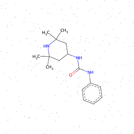 CC1(C)CC(NC(=O)Nc2ccccc2)CC(C)(C)N1